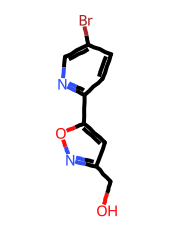 OCc1cc(-c2ccc(Br)cn2)on1